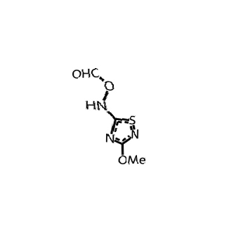 COc1nsc(NOC=O)n1